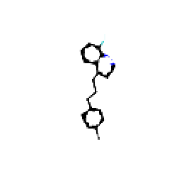 Cc1ccc(CCCc2ccnc3c(F)cccc23)cc1